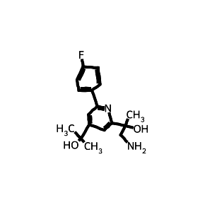 CC(C)(O)c1cc(-c2ccc(F)cc2)nc(C(C)(O)CN)c1